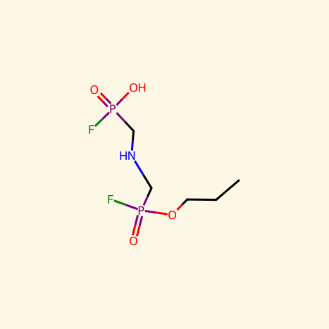 CCCOP(=O)(F)CNCP(=O)(O)F